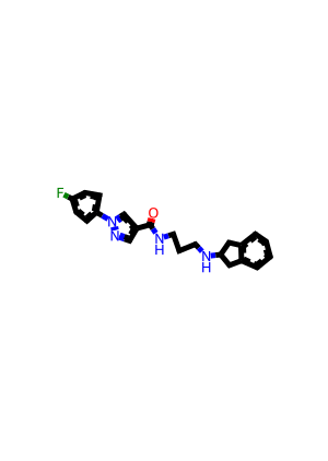 O=C(NCCCNC1Cc2ccccc2C1)c1cnn(-c2ccc(F)cc2)c1